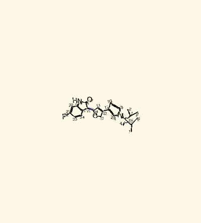 CC(C)S(C)(C(C)C)n1ccc(C2=C/C(=C3\C(=O)Nc4cc(F)ccc43)OC2)c1